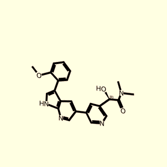 COc1ccccc1-c1c[nH]c2ncc(-c3cncc([C@@H](O)C(=O)N(C)C)c3)cc12